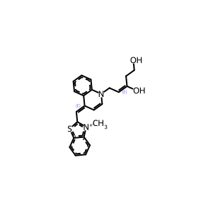 C[n+]1c(/C=C2\C=CN(C/C=C(/O)CCO)c3ccccc32)sc2ccccc21